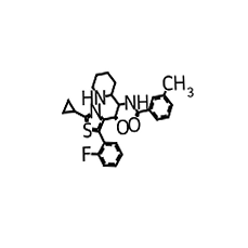 Cc1cccc(C(=O)NC(C(=O)c2nc(C3CC3)sc2-c2ccccc2F)C2CCCCN2)c1